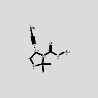 CC(C)(C)C#C[C@H]1COC(C)(C)N1C(=O)OC(C)(C)C